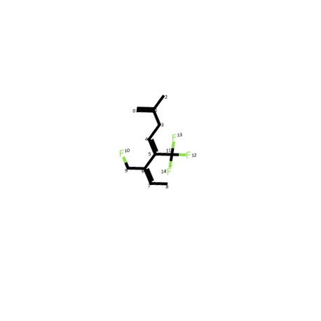 C=C(C)CC=C(/C(=C\C)CF)C(F)(F)F